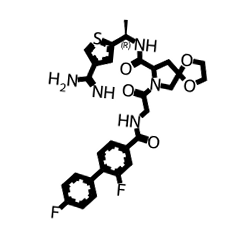 C[C@@H](NC(=O)C1CC2(CN1C(=O)CNC(=O)c1ccc(-c3ccc(F)cc3)c(F)c1)OCCO2)c1cc(C(=N)N)cs1